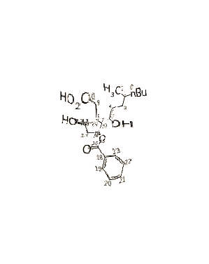 CCCCC(C)CC=C(O)[C@H]1[C@H](CC(=O)O)[C@H](O)C[C@@H]1OC(=O)c1ccccc1